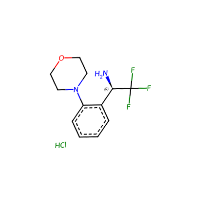 Cl.N[C@H](c1ccccc1N1CCOCC1)C(F)(F)F